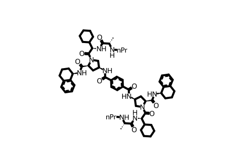 CCCN[C@@H](C)C(=O)N[C@H](C(=O)N1C[C@@H](NC(=O)c2ccc(C(=O)N[C@H]3C[C@@H](C(=O)N[C@@H]4CCCc5ccccc54)N(C(=O)[C@@H](NC(=O)[C@H](C)NCCC)C4CCCCC4)C3)cc2)C[C@H]1C(=O)N[C@@H]1CCCc2ccccc21)C1CCCCC1